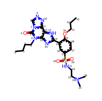 CCCCn1c(=O)n2cnnc2c2[nH]c(-c3cc(S(=O)(=O)NCCN(C)C)ccc3OCCC)nc21